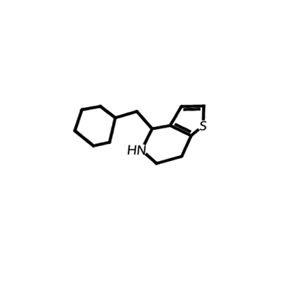 c1cc2c(s1)CCNC2CC1CCCCC1